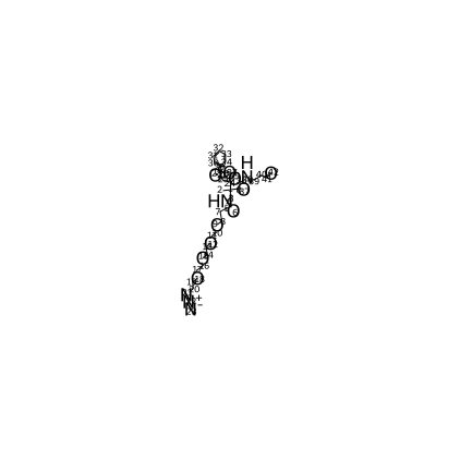 CC(C)(CNC(=O)CCOCCOCCOCCOCCN=[N+]=[N-])C(CS(=O)(=O)c1ccccc1)OC(=O)NCCC=O